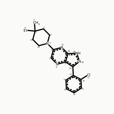 CCC1(C)CCN(c2cnc3c(-c4ccccc4Cl)n[nH]c3n2)CC1